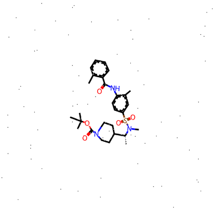 Cc1cc(S(=O)(=O)N(C)[C@H](C)C2CCN(C(=O)OC(C)(C)C)CC2)ccc1NC(=O)c1ccccc1C